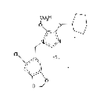 CCCCc1nc(SC2CCCCC2)c(OC(=O)O)n1Cc1cc2c(cc1Cl)OCO2